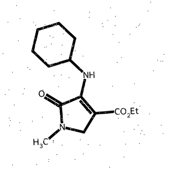 CCOC(=O)C1=C(NC2CCCCC2)C(=O)N(C)C1